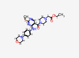 CCOC(=O)CN1CCN(C(=O)c2cnc(SC)nc2Nc2ccc(N3CCOCC3)cc2)CC1